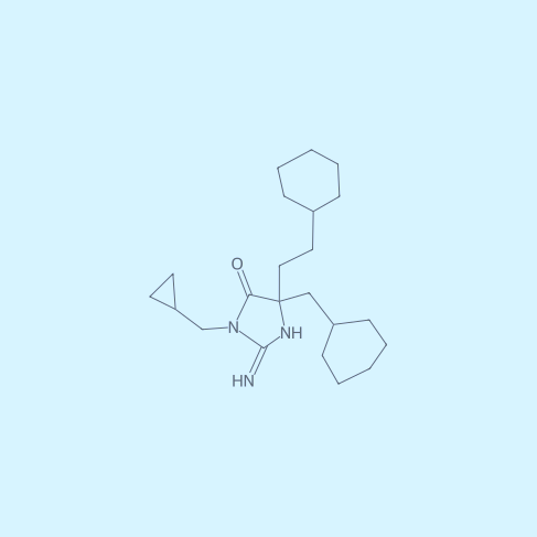 N=C1NC(CCC2CCCCC2)(CC2CCCCC2)C(=O)N1CC1CC1